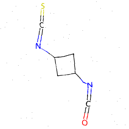 O=C=NC1CC(N=C=S)C1